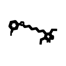 CCc1noc(CC)c1CCCCCCOc1cccc(I)c1